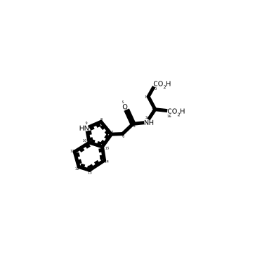 O=C(O)CC(NC(=O)Cc1c[nH]c2ccccc12)C(=O)O